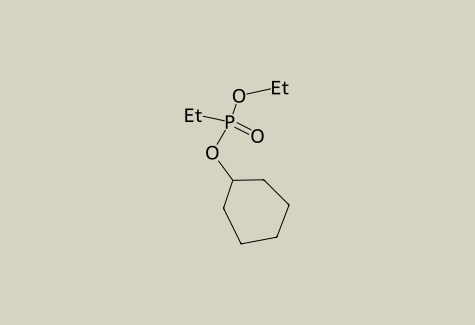 CCOP(=O)(CC)OC1CCCCC1